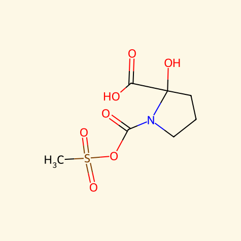 CS(=O)(=O)OC(=O)N1CCCC1(O)C(=O)O